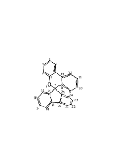 c1ccc2c(c1)OC1(c3ccccc3-2)c2ccccc2-c2ccccc21